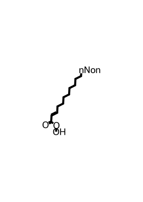 CCCCCCCCCCCCCCCCCC=CC(=O)OO